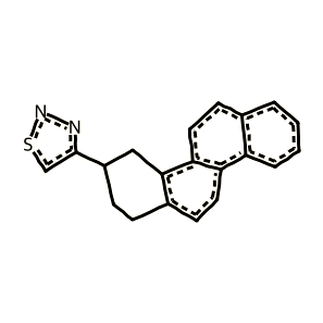 c1ccc2c(c1)ccc1c3c(ccc12)CCC(c1csnn1)C3